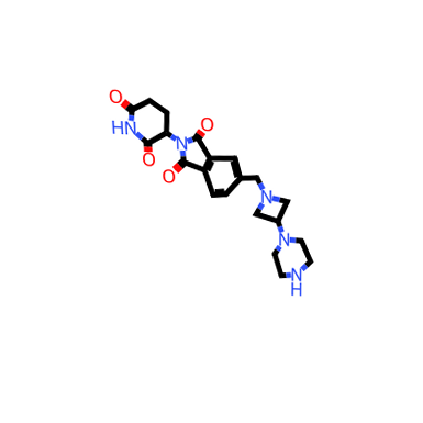 O=C1CCC(N2C(=O)c3ccc(CN4CC(N5CCNCC5)C4)cc3C2=O)C(=O)N1